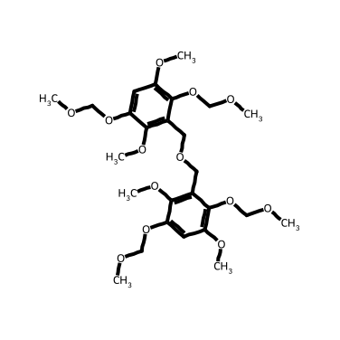 COCOc1cc(OC)c(OCOC)c(COCc2c(OC)c(OCOC)cc(OC)c2OCOC)c1OC